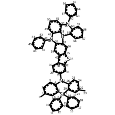 Cc1ccc2c(c1)[Si](c1ccccc1)(c1ccccc1)c1cc(C)ccc1N2c1ccc2c(c1)sc1cc3c(cc12)N(c1ccccc1)c1cccc2c1B3c1ccccc1N2c1ccccc1